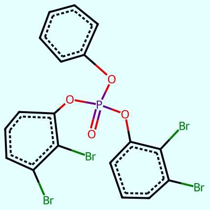 O=P(Oc1ccccc1)(Oc1cccc(Br)c1Br)Oc1cccc(Br)c1Br